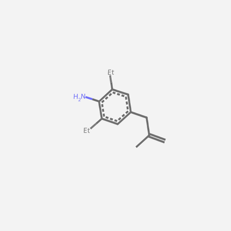 C=C(C)Cc1cc(CC)c(N)c(CC)c1